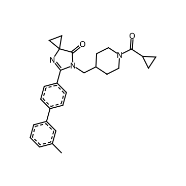 Cc1cccc(-c2ccc(C3=NC4(CC4)C(=O)N3CC3CCN(C(=O)C4CC4)CC3)cc2)c1